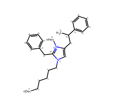 CCCCCCCCCCCCCCCn1cc(CC(C)c2ccccc2)[n+](CCCCCC)c1Cc1ccccc1